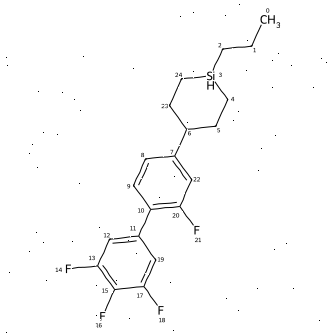 CCC[SiH]1CCC(c2ccc(-c3cc(F)c(F)c(F)c3)c(F)c2)CC1